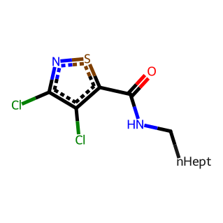 CCCCCCCCNC(=O)c1snc(Cl)c1Cl